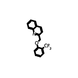 FC(F)(F)c1ccccc1OCc1ccc2ccccc2n1